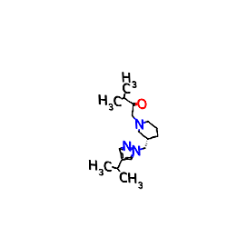 CC(C)C(=O)CN1CCC[C@H](Cn2cc(C(C)C)cn2)C1